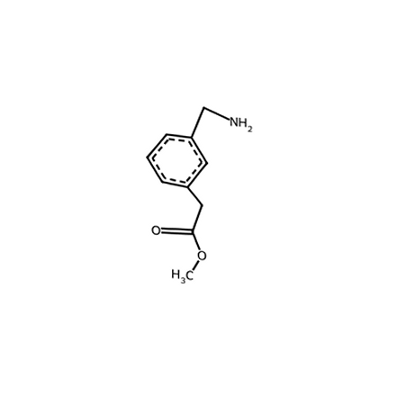 COC(=O)Cc1cccc(CN)c1